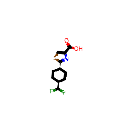 O=C(O)c1csc([C@H]2CC[C@H](C(F)F)CC2)n1